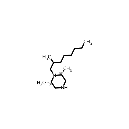 CCCCCCC(C)CN1[C@H](C)CNC[C@@H]1C